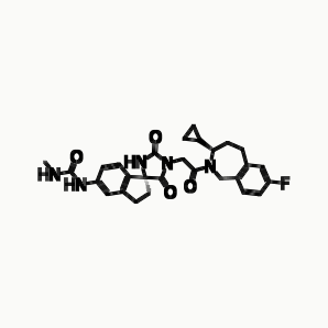 CNC(=O)Nc1ccc2c(c1)CC[C@@]21NC(=O)N(CC(=O)N2Cc3ccc(F)cc3CC[C@@H]2C2CC2)C1=O